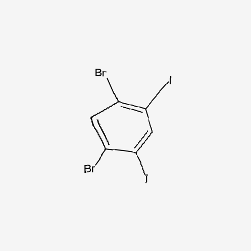 Brc1cc(Br)c(I)cc1I